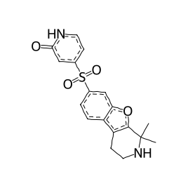 CC1(C)NCCc2c1oc1cc(S(=O)(=O)c3cc[nH]c(=O)c3)ccc21